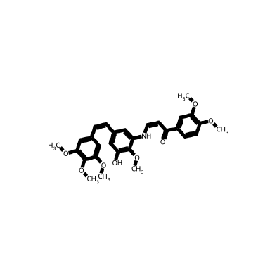 COc1ccc(C(=O)/C=C\Nc2cc(/C=C\c3cc(OC)c(OC)c(OC)c3)cc(O)c2OC)cc1OC